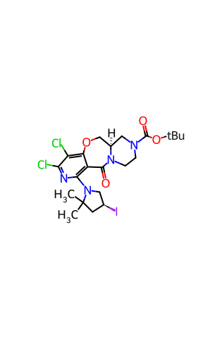 CC(C)(C)OC(=O)N1CCN2C(=O)c3c(N4C[C@@H](I)CC4(C)C)nc(Cl)c(Cl)c3OC[C@H]2C1